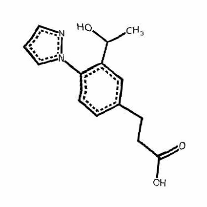 CC(O)c1cc(CCC(=O)O)ccc1-n1cccn1